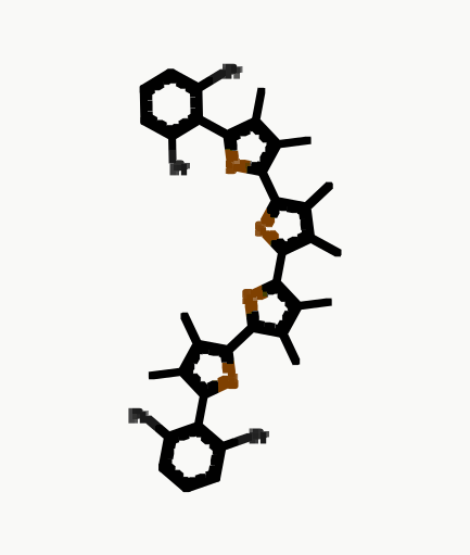 Cc1c(-c2sc(-c3sc(-c4c(C(C)C)cccc4C(C)C)c(C)c3C)c(C)c2C)sc(-c2sc(-c3c(C(C)C)cccc3C(C)C)c(C)c2C)c1C